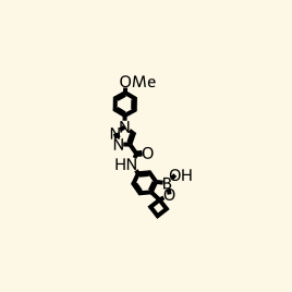 COc1ccc(-n2cc(C(=O)Nc3ccc4c(c3)B(O)OC43CCC3)nn2)cc1